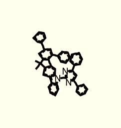 CC1(C)c2cc3c4ccccc4n(-c4nc(-c5ccccc5)cc(-c5ccccc5)n4)c3cc2-c2c(-c3ccccc3)cc(-c3ccccc3)cc21